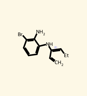 C=C/C(=C\CC)Nc1cccc(Br)c1N